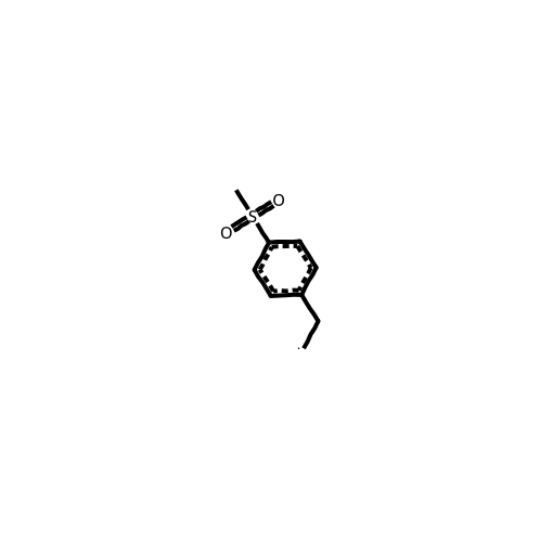 [CH2]Cc1ccc(S(C)(=O)=O)cc1